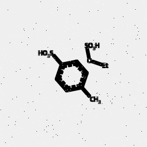 CCOS(=O)(=O)O.Cc1ccc(S(=O)(=O)O)cc1